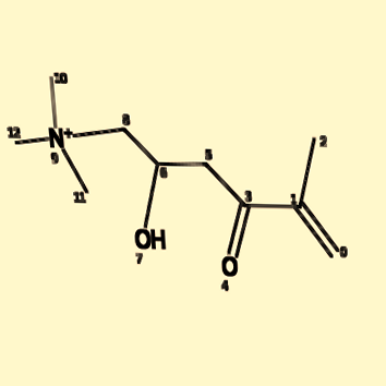 C=C(C)C(=O)CC(O)C[N+](C)(C)C